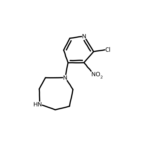 O=[N+]([O-])c1c(N2CCCNCC2)ccnc1Cl